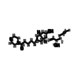 CC#CC[C@H](C)[C@H](O)/C=C/[C@@H]1[C@H]2CC(CCCCC(=O)N3CCOCC3)=C[C@H]2C[C@H]1O